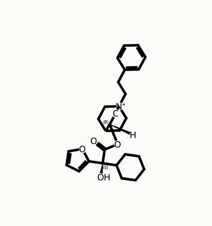 O=C(O[C@H]1C[N+]2(CCc3ccccc3)CCC1CC2)[C@@](O)(c1ccco1)C1CCCCC1